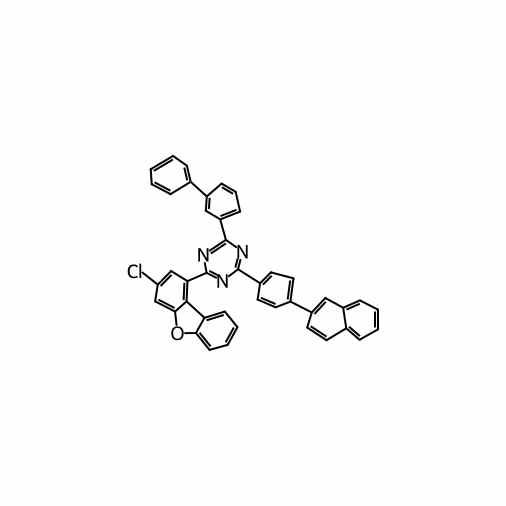 Clc1cc(-c2nc(-c3ccc(-c4ccc5ccccc5c4)cc3)nc(-c3cccc(-c4ccccc4)c3)n2)c2c(c1)oc1ccccc12